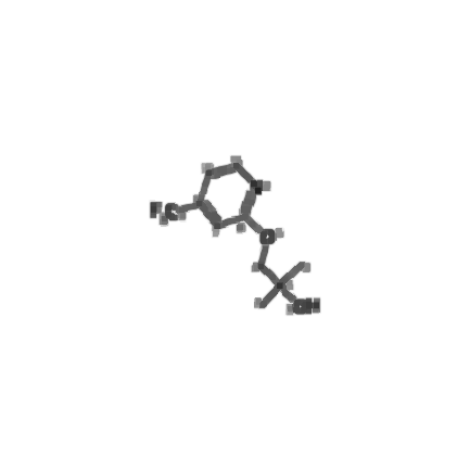 CC(C)(O)COc1cc(C(F)(F)F)ccn1